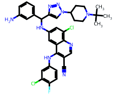 CC(C)(C)N1CCC(n2cc(C(Nc3cc(Cl)c4ncc(C#N)c(Nc5ccc(F)c(Cl)c5)c4c3)c3cccc(N)c3)nn2)CC1